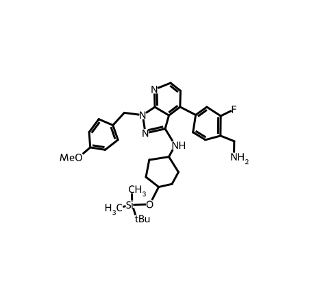 COc1ccc(Cn2nc(NC3CCC(O[Si](C)(C)C(C)(C)C)CC3)c3c(-c4ccc(CN)c(F)c4)ccnc32)cc1